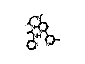 C=C(Nc1ccccn1)N1c2nc(-c3cncc(C)c3)ccc2N(C)CC[C@H]1C